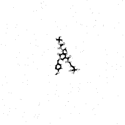 COc1ccc(Cn2cc(C(=O)NCCCC(F)(F)F)c3c(c2=O)[C@@H](NC(=O)OC(C)(C)C)CS3)cc1